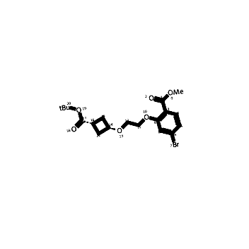 COC(=O)c1ccc(Br)cc1OCCO[C@H]1C[C@@H](C(=O)OC(C)(C)C)C1